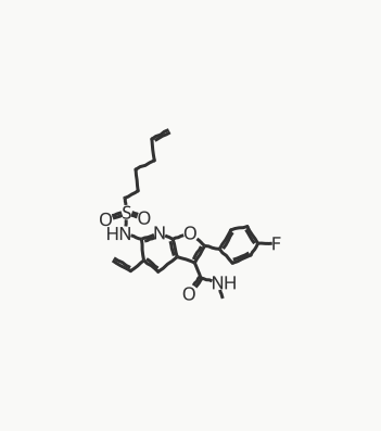 C=CCCCCS(=O)(=O)Nc1nc2oc(-c3ccc(F)cc3)c(C(=O)NC)c2cc1C=C